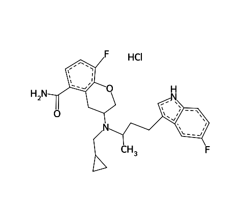 CC(CCc1c[nH]c2ccc(F)cc12)N(CC1CC1)C1COc2c(F)ccc(C(N)=O)c2C1.Cl